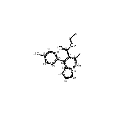 CCOC(=O)c1c(C)nn2cccc2c1-c1ccc(F)cc1